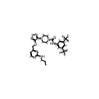 CCCNc1nccc(COc2nsnc2N2CCN(C(=O)Nc3cc(C(F)(F)F)cc(C(F)(F)F)c3)CC2)n1